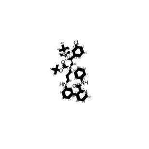 CC(C)(C)OC(=O)N(CCCNc1cccc(-c2cccnc2C(=O)Nc2ccccc2)c1)C[C@@H](O[Si](C)(C)C(C)(C)C)c1cccc(Cl)c1